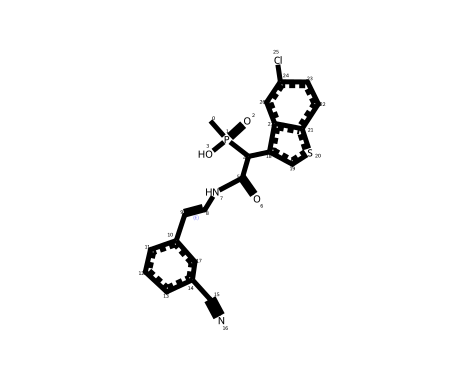 CP(=O)(O)C(C(=O)N/C=C/c1cccc(C#N)c1)c1csc2ccc(Cl)cc12